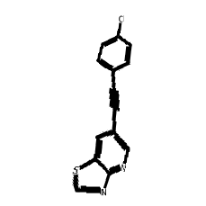 Clc1ccc(C#Cc2cnc3ncsc3c2)cc1